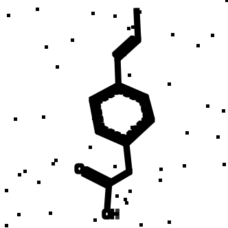 CC=Cc1ccc(CC(=O)O)cc1